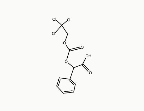 O=C(OCC(Cl)(Cl)Cl)OC(C(=O)O)c1ccccc1